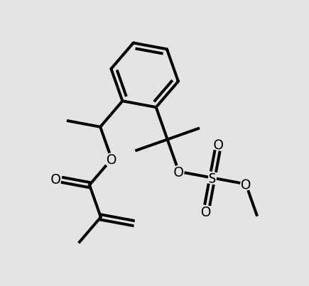 C=C(C)C(=O)OC(C)c1ccccc1C(C)(C)OS(=O)(=O)OC